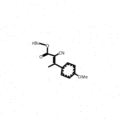 CCCCOC(=O)/C(C#N)=C(\C)c1ccc(OC)cc1